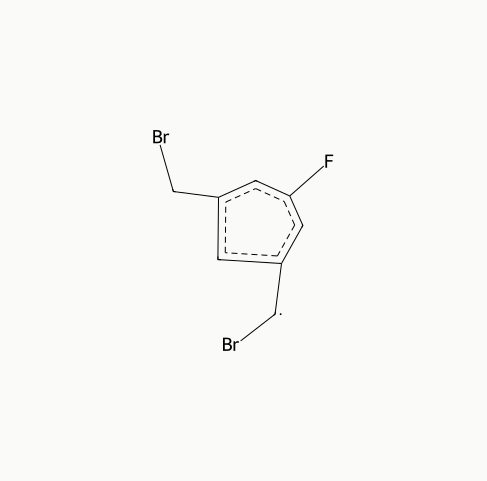 Fc1cc([CH]Br)cc(CBr)c1